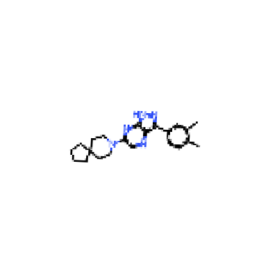 Cc1ccc(-c2n[nH]c3nc(N4CCC5(CCCC5)CC4)cnc23)cc1C